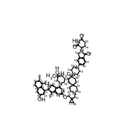 CCc1c(F)ccc2cc(O)cc(-c3ncc4c(N5CCC[C@](C)(O)C5)nc(OCC5(CN6CCC7(CC6)CCC(C)(N6CCN(c8ccc9c(c8)CN(C8CCC(=O)NC8=O)C9=O)CC6)CC7)CC5)nc4c3F)c12